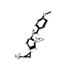 COc1ccc(CNc2ccc([C@@H]3C[C@H]3N)cn2)cc1.Cl